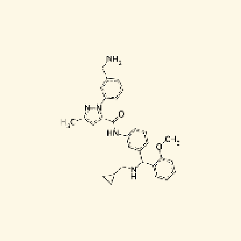 COc1ccccc1C(NCC1CC1)c1cccc(NC(=O)c2cc(C)nn2-c2cccc(CN)c2)c1